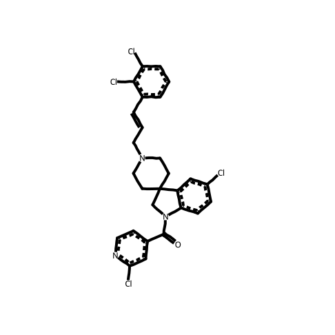 O=C(c1ccnc(Cl)c1)N1CC2(CCN(C/C=C/c3cccc(Cl)c3Cl)CC2)c2cc(Cl)ccc21